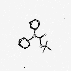 CC(C)(C)OC(=O)N(c1ccccc1)c1ccccc1